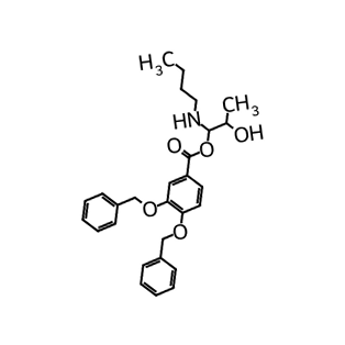 CCCCNC(OC(=O)c1ccc(OCc2ccccc2)c(OCc2ccccc2)c1)C(C)O